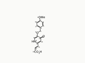 COc1ccc(COc2c[nH]c(/C=C/C(=O)O)cc2=O)cc1